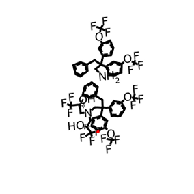 NCC(Cc1ccccc1)(c1cccc(OC(F)(F)F)c1)c1cccc(OC(F)(F)F)c1.O[C@@H](CN(C[C@H](O)C(F)(F)F)CC(Cc1ccccc1)(c1cccc(OC(F)(F)F)c1)c1cccc(OC(F)(F)F)c1)C(F)(F)F